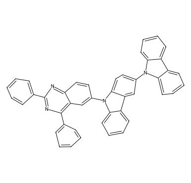 c1ccc(-c2nc(-c3ccccc3)c3cc(-n4c5ccccc5c5cc(-n6c7ccccc7c7ccccc76)ccc54)ccc3n2)cc1